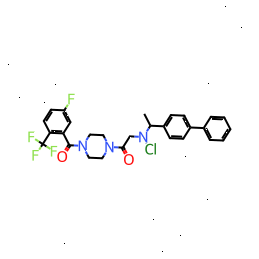 CC(c1ccc(-c2ccccc2)cc1)N(Cl)CC(=O)N1CCN(C(=O)c2cc(F)ccc2C(F)(F)F)CC1